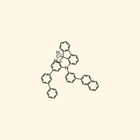 CC1(C)c2ccccc2-c2cccc(N(c3cccc(-c4cccc(-c5ccccc5)c4)c3)c3cccc(-c4ccc5ccccc5c4)c3)c21